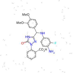 COc1ccc(C(Nc2ccc(N)c(F)c2)c2nn(-c3ccccc3C(=O)O)c(=O)[nH]2)cc1OC